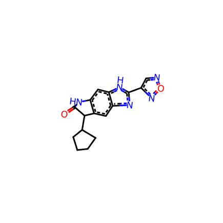 O=C1Nc2cc3[nH]c(-c4cnon4)nc3cc2C1C1CCCC1